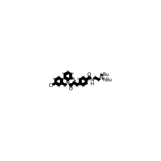 CCCCN(CCCC)CCNC(=O)c1ccc(/C=C2\Sc3ccccc3N(Cc3cccc(Cl)c3)C2=O)cc1